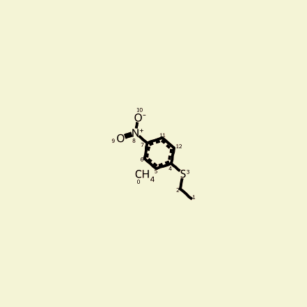 C.CCSc1ccc([N+](=O)[O-])cc1